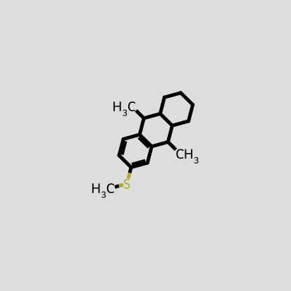 CSc1ccc2c(c1)C(C)C1CCCCC1C2C